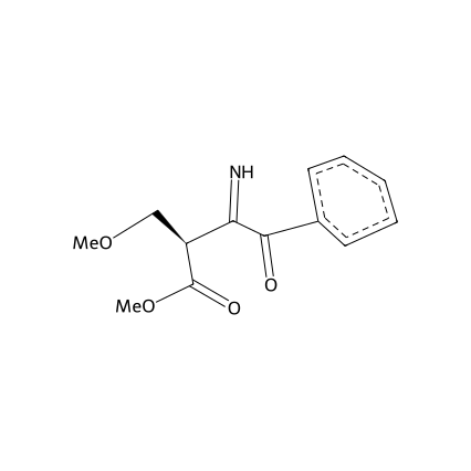 COC[C@@H](C(=N)C(=O)c1ccccc1)C(=O)OC